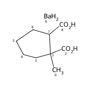 CC1(C(=O)O)CCCCC1C(=O)O.[BaH2]